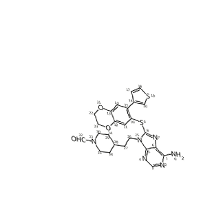 Nc1ncnc2c1nc(Sc1cc3c(cc1-c1ccsc1)OCCO3)n2CCC1CCN(C=O)CC1